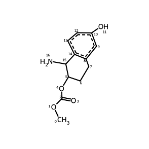 COC(=O)OC1CCc2cc(O)ccc2C1N